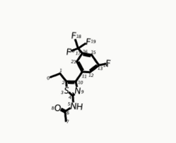 CCc1sc(NC(C)=O)nc1-c1cc(F)cc(C(F)(F)F)c1